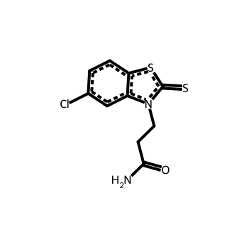 NC(=O)CCn1c(=S)sc2ccc(Cl)cc21